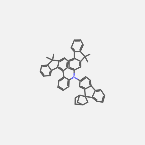 CC1(C)c2ccccc2-c2ccc(N(c3ccc4c(c3)C3(CC5CCC3C5)c3ccccc3-4)c3ccccc3-c3cccc4c3-c3ccccc3C4(C)C)cc21